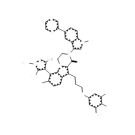 Cc1cc(OCCCc2c3n(c4c(-c5c(C)nn(C)c5C)c(Cl)ccc24)[C@H](C)CN(c2cn(C)c4ccc(-c5cnccn5)cc24)C3=O)cc(C)c1Cl